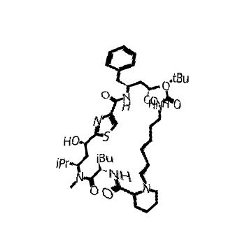 CC[C@H](C)[C@H](NC(=O)C1CCCCN1CCCCCCNC(=O)OC(C)(C)C)C(=O)N(C)[C@H](C[C@@H](O)c1nc(C(=O)N[C@@H](Cc2ccccc2)C[C@H](C)C(=O)O)cs1)C(C)C